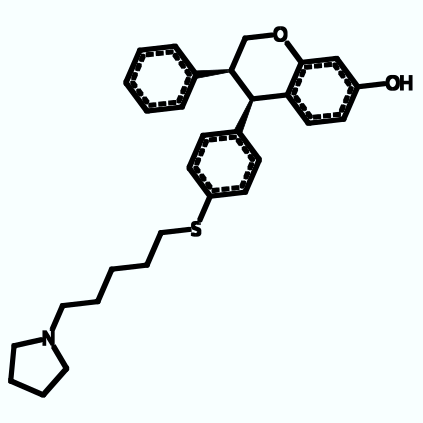 Oc1ccc2c(c1)OC[C@H](c1ccccc1)[C@@H]2c1ccc(SCCCCCN2CCCC2)cc1